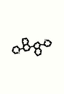 c1ccc(-c2ccc(-c3ccc(-c4ccccn4)c4ccccc34)c3ccccc23)nc1